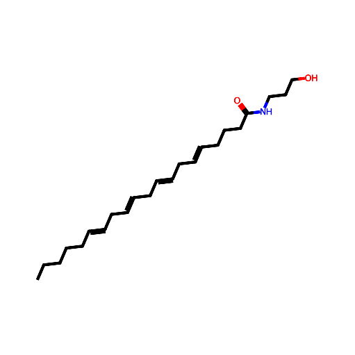 CCCCCC=CCC=CCC=CCC=CCCCC(=O)NCCCO